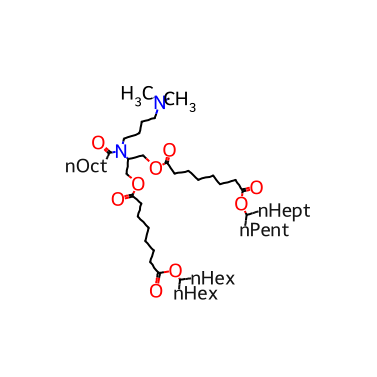 CCCCCCCCC(=O)N(CCCCN(C)C)C(COC(=O)CCCCCCC(=O)OC(CCCCC)CCCCCCC)COC(=O)CCCCCCC(=O)OC(CCCCCC)CCCCCC